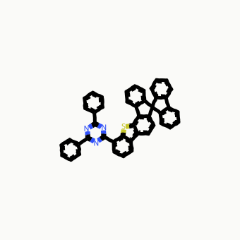 c1ccc(-c2nc(-c3ccccc3)nc(-c3cccc4c3sc3c5c(ccc34)C3(c4ccccc4-c4ccccc43)c3ccccc3-5)n2)cc1